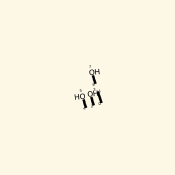 CC.CO.CO.CO